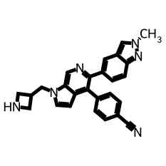 Cn1cc2cc(-c3ncc4c(ccn4CC4CNC4)c3-c3ccc(C#N)cc3)ccc2n1